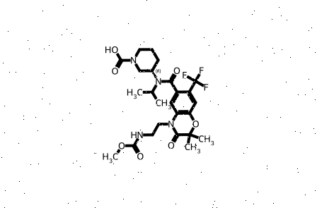 COC(=O)NCCN1C(=O)C(C)(C)Oc2cc(C(F)(F)F)c(C(=O)N(C(C)C)[C@@H]3CCCN(C(=O)O)C3)cc21